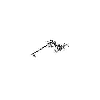 CCCCCCCCC=CCCCCCCCC(=O)N[C@H]1CCCC[C@@H]1NC(=O)CCNC(=O)[C@@H](OC(C)=O)C(C)(C)COC(C)=O